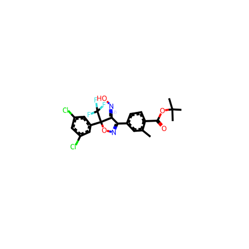 Cc1cc(C2=NOC(c3cc(Cl)cc(Cl)c3)(C(F)(F)F)/C2=N\O)ccc1C(=O)OC(C)(C)C